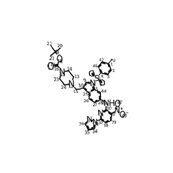 Cc1ccc(S(=O)(=O)n2cc(CN3CCN(C(=O)OC(C)(C)C)CC3)c3ccc(Nc4nc(-n5cccn5)ccc4[N+](=O)[O-])cc32)cc1